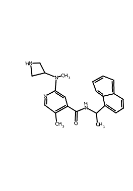 Cc1cnc(N(C)C2CNC2)cc1C(=O)NC(C)c1cccc2ccccc12